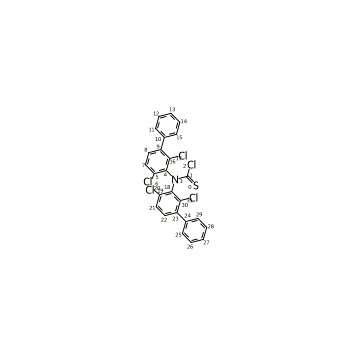 S=C(Cl)N(c1c(Cl)ccc(-c2ccccc2)c1Cl)c1c(Cl)ccc(-c2ccccc2)c1Cl